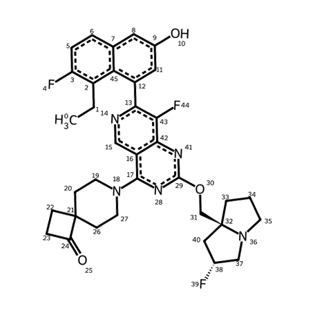 CCc1c(F)ccc2cc(O)cc(-c3ncc4c(N5CCC6(CCC6=O)CC5)nc(OC[C@@]56CCCN5C[C@H](F)C6)nc4c3F)c12